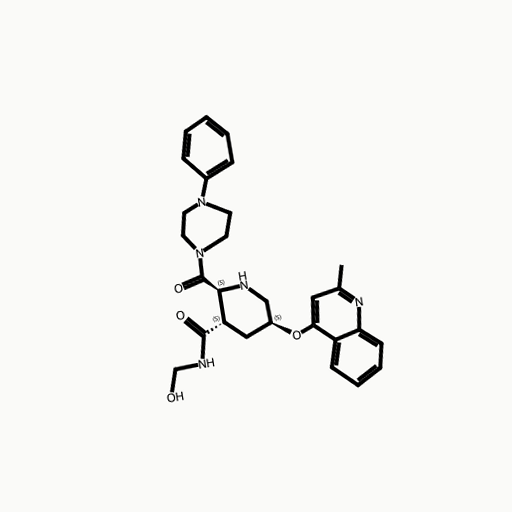 Cc1cc(O[C@@H]2CN[C@H](C(=O)N3CCN(c4ccccc4)CC3)[C@@H](C(=O)NCO)C2)c2ccccc2n1